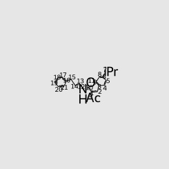 CC(=O)C(=Cc1ccc(C(C)C)cc1)C(=O)NCCCc1ccccc1